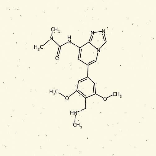 CNCc1c(OC)cc(-c2cc(NC(=O)N(C)C)c3nncn3c2)cc1OC